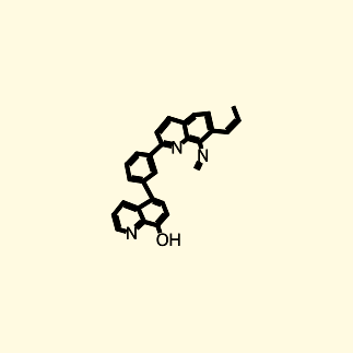 C=Nc1c(/C=C\C)ccc2ccc(-c3cccc(-c4ccc(O)c5ncccc45)c3)nc12